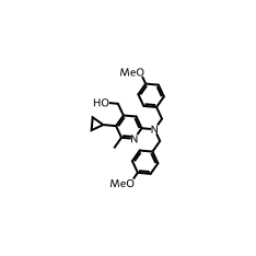 COc1ccc(CN(Cc2ccc(OC)cc2)c2cc(CO)c(C3CC3)c(C)n2)cc1